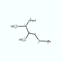 CCCCCN(C(=O)O)C(CSCCCC)C(=O)O